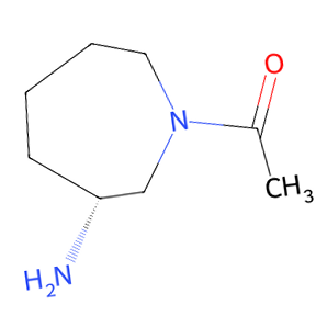 CC(=O)N1CCCC[C@@H](N)C1